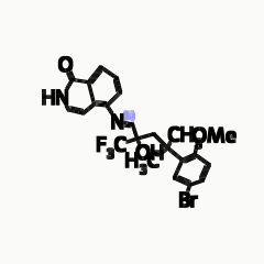 COc1ccc(Br)cc1C(C)(C)CC(O)(/C=N/c1cccc2c(=O)[nH]ccc12)C(F)(F)F